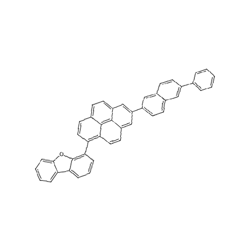 c1ccc(-c2ccc3cc(-c4cc5ccc6ccc(-c7cccc8c7oc7ccccc78)c7ccc(c4)c5c67)ccc3c2)cc1